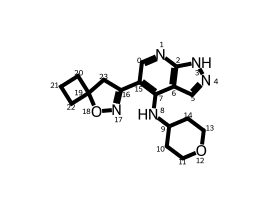 c1nc2[nH]ncc2c(NC2CCOCC2)c1C1=NOC2(CCC2)C1